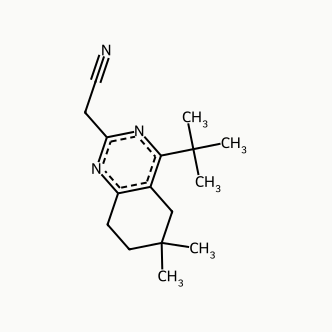 CC1(C)CCc2nc(CC#N)nc(C(C)(C)C)c2C1